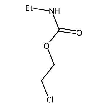 CCNC(=O)OCCCl